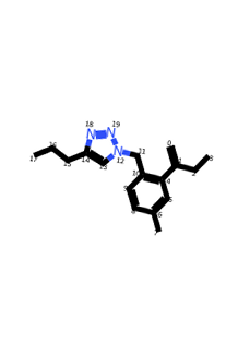 C=C(CC)c1cc(C)ccc1Cn1cc(CCC)nn1